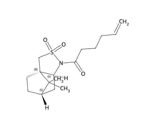 C=CCCCC(=O)N1[C@H]2C[C@@H]3CC[C@@]2(CS1(=O)=O)C3(C)C